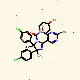 CCOc1nc(C(C)(C)C)ncc1C1=NC(C)(c2ccc(Cl)cc2)C(C)(c2ccc(Cl)cc2)N1C(=O)N1CCC(O)CC1